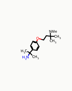 CNC(C)(C)CCOc1ccc(C(C)(C)N)cc1